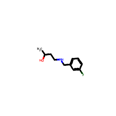 CC(O)CCNCc1cccc(F)c1